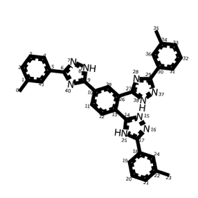 Cc1cccc(-c2n[nH]c(-c3ccc(-c4nnc(-c5cccc(C)c5)[nH]4)c(-c4nc(-c5cccc(C)c5)n[nH]4)c3)n2)c1